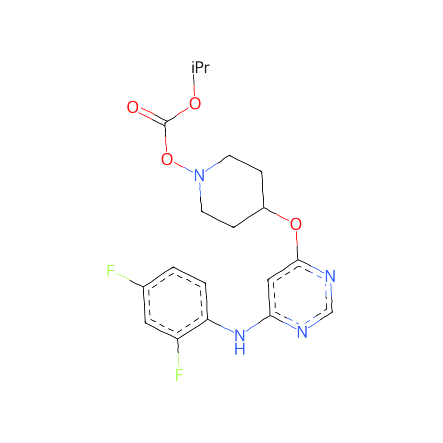 CC(C)OC(=O)ON1CCC(Oc2cc(Nc3ccc(F)cc3F)ncn2)CC1